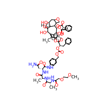 COCCOCC(=O)N[C@H](C)C(=O)N[C@H](C)C(=O)N[C@H](CC(N)=O)C(=O)Nc1ccc(COC(=O)O[C@H](Cc2ccccc2)C(=O)O[C@H]2C[C@@]3(O)[C@@H](OC(=O)c4ccccc4)C4[C@]5(OC(C)=O)COC5C[C@H](O)[C@@]4(C)C(=O)[C@H](O)C(=C2C)C3(C)C)cc1